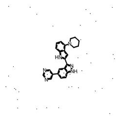 c1cc(N2CCCCC2)c2cc(-c3n[nH]c4ccc(-c5cncnc5)cc34)[nH]c2c1